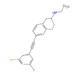 O=C(O)CNC1CCc2cc(C#Cc3cc(F)cc(F)c3)ccc2C1